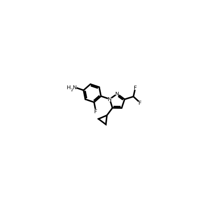 Nc1ccc(-n2nc(C(F)F)cc2C2CC2)c(F)c1